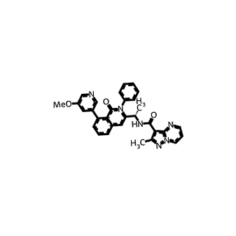 COc1cncc(-c2cccc3cc([C@H](C)NC(=O)c4c(C)nn5cccnc45)n(-c4ccccc4)c(=O)c23)c1